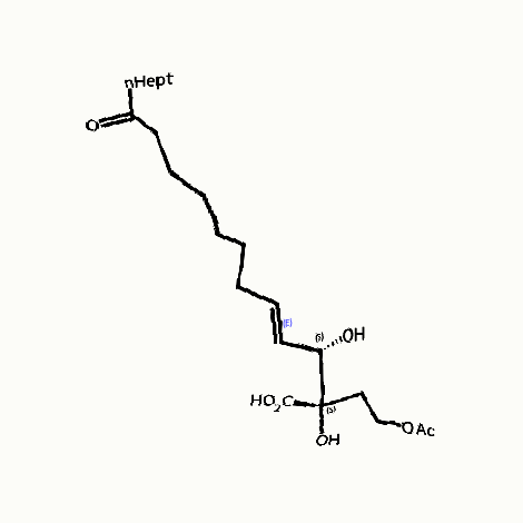 CCCCCCCC(=O)CCCCCC/C=C/[C@H](O)[C@@](O)(CCOC(C)=O)C(=O)O